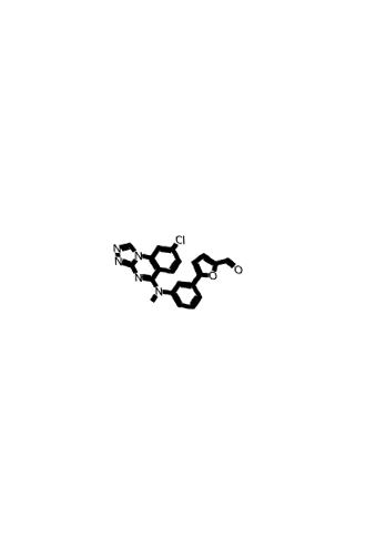 CN(c1cccc(-c2ccc(C=O)o2)c1)c1nc2nncn2c2cc(Cl)ccc12